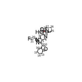 O=C(c1cc2c(cn1)c(-c1coc3ccccc13)nn2CCF)N1C2CCC1CC(O)C2